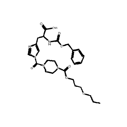 CCCOCCCOC(=O)N1CCN(C(=O)n2cnc(CC(NC(=O)OCc3ccccc3)C(=O)O)c2)CC1